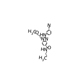 CCCCNC(=O)c1ccc2c(c1)nc(Nc1cccc(C#N)c1)n2CCCOC